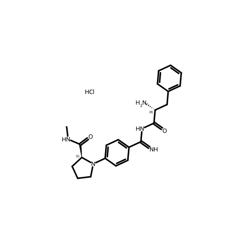 CNC(=O)[C@@H]1CCCN1c1ccc(C(=N)NC(=O)[C@H](N)Cc2ccccc2)cc1.Cl